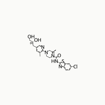 Cc1cc(C[C@@H](O)CO)cnc1N1CCN(C(=O)Nc2nc3ccc(Cl)cc3s2)[C@H](C)C1